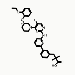 CCOc1ccccc1O[C@@H]1CCCN(c2nc(Nc3cccc(-c4cccc(CC(C)(C)C(=O)O)c4)n3)ncc2F)C1